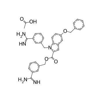 CC(=O)O.N=C(N)c1cccc(COC(=O)c2cc3cc(OCc4ccccc4)ccc3n2Cc2cccc(C(=N)N)c2)c1